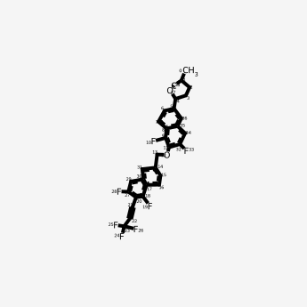 CC1CCC(c2ccc3c(F)c(OCc4ccc5c(F)c(C#CC(F)(F)F)c(F)cc5c4)c(F)cc3c2)OC1